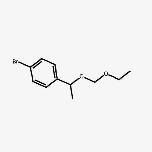 CCOCOC(C)c1ccc(Br)cc1